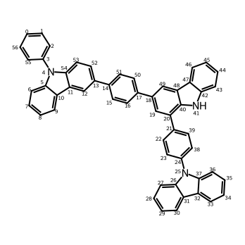 c1ccc(-n2c3ccccc3c3cc(-c4ccc(-c5cc(-c6ccc(-n7c8ccccc8c8ccccc87)cc6)c6[nH]c7ccccc7c6c5)cc4)ccc32)cc1